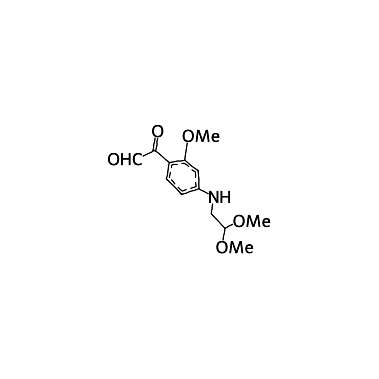 COc1cc(NCC(OC)OC)ccc1C(=O)C=O